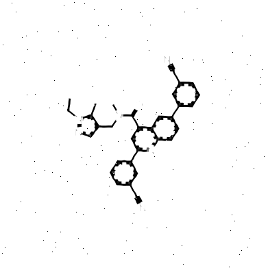 CCn1ncc(CN(C)C(=O)c2cc(-c3cccc(C#N)c3)nc3ccc(-c4cccc(C#N)c4)cc23)c1C